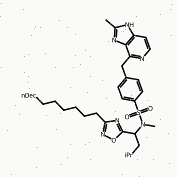 CCCCCCCCCCCCCCCCc1noc(C(CC(C)C)N(C)S(=O)(=O)c2ccc(Cc3nccc4[nH]c(C)nc34)cc2)n1